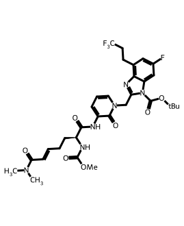 COC(=O)N[C@@H](CC/C=C/C(=O)N(C)C)C(=O)Nc1cccn(Cc2nc3c(CCC(F)(F)F)cc(F)cc3n2C(=O)OC(C)(C)C)c1=O